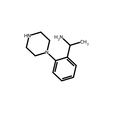 CC(N)c1ccccc1N1CCNCC1